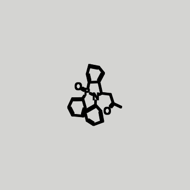 CC(=O)CC1c2ccccc2P(=O)(c2ccccc2)N1c1ccccc1